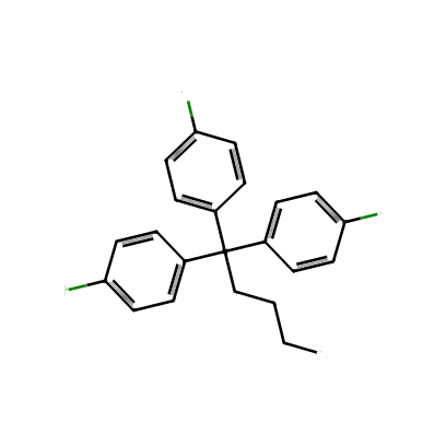 Clc1ccc(C(CC[CH2][Sn])(c2ccc(Cl)cc2)c2ccc(Cl)cc2)cc1